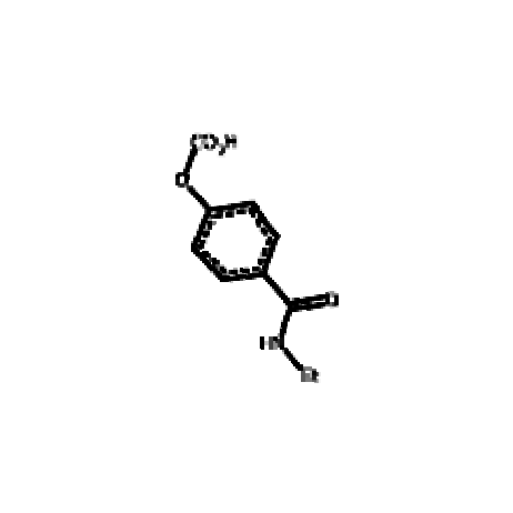 CCNC(=O)c1ccc(OC(=O)O)cc1